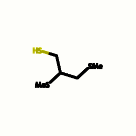 CSCC(CS)SC